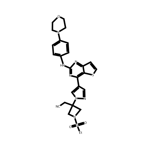 CCS(=O)(=O)N1CC(CC#N)(n2cc(-c3nc(Nc4ccc(N5CCOCC5)cc4)nc4ccsc34)cn2)C1